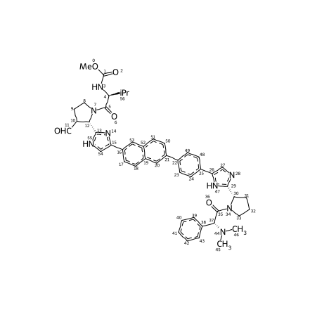 COC(=O)N[C@H](C(=O)N1CCC(C=O)[C@H]1c1nc(-c2ccc3cc(-c4ccc(-c5cnc([C@@H]6CCCN6C(=O)[C@@H](c6ccccc6)N(C)C)[nH]5)cc4)ccc3c2)c[nH]1)C(C)C